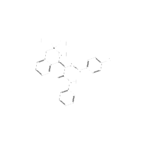 CC(=O)c1ccc(/N=N/C(C(=O)Nc2ccccc2)=C2\NC(C)(C)Cc3ccccc32)cc1